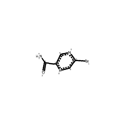 NC(=O)c1cnc(Br)cn1